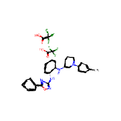 N#Cc1ccc(N2CCC[C@H](N[C@@H]3CCCC[C@H]3Nc3noc(-c4ccccc4)n3)C2)cc1.O=C(O)C(F)(F)F.O=C(O)C(F)(F)F